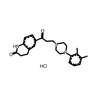 Cc1cccc(N2CCN(CCC(=O)c3ccc4c(c3)CCC(=O)N4)CC2)c1C.Cl